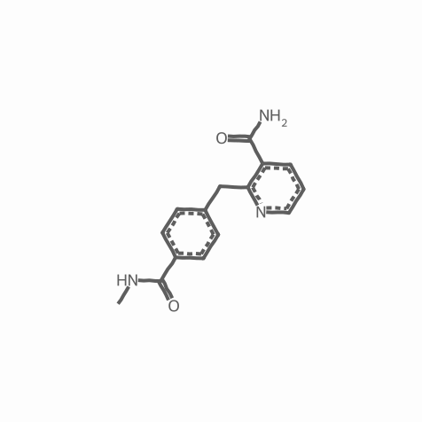 CNC(=O)c1ccc(Cc2ncccc2C(N)=O)cc1